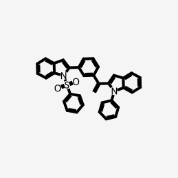 C=C(c1cccc(-c2cc3ccccc3n2S(=O)(=O)c2ccccc2)c1)c1cc2ccccc2n1-c1ccccc1